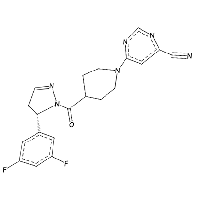 N#Cc1cc(N2CCC(C(=O)N3N=CC[C@H]3c3cc(F)cc(F)c3)CC2)ncn1